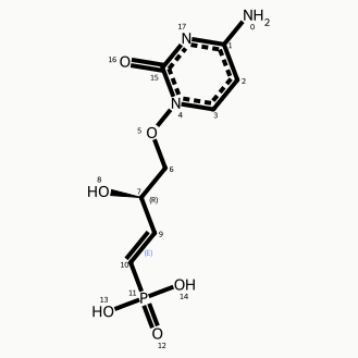 Nc1ccn(OC[C@H](O)/C=C/P(=O)(O)O)c(=O)n1